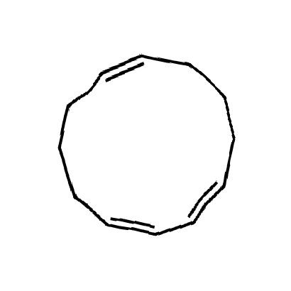 C1=CCCCC=CCCCC=C1